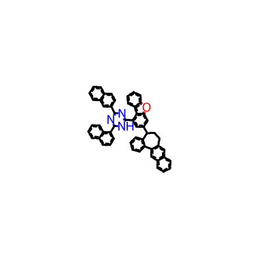 c1ccc2c(c1)-c1cc3ccccc3cc1CCC2c1cc(C2=NC(c3ccc4ccccc4c3)=NC(c3cccc4ccccc34)N2)c2c(c1)oc1ccccc12